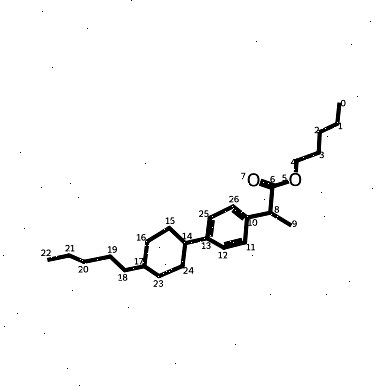 CCCCCOC(=O)C(C)c1ccc(C2CCC(CCCCC)CC2)cc1